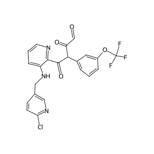 O=CC(=O)C(C(=O)c1ncccc1NCc1ccc(Cl)nc1)c1cccc(OC(F)(F)F)c1